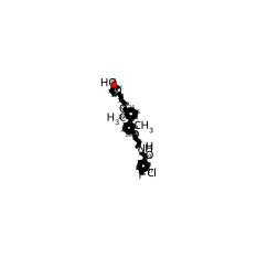 Cc1c(OCCCNCC(O)c2ccc(F)c(Cl)c2)cccc1-c1cccc(OCCCN2CCC(O)C2)c1C